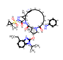 CCc1cccc2c1nc(O[C@@H]1C[C@H]3C(=O)N[C@]4(C(=O)NS(=O)(=O)C5(C)CC5)C[C@H]4/C=C\CCCCC[C@H](Nc4ccccc4)C(=O)N3C1)n2C(C)C